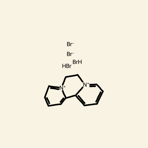 Br.Br.[Br-].[Br-].c1cc[n+]2c(c1)-c1cccc[n+]1CC2